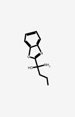 CCCC(N)(O)c1nc2ccccc2o1